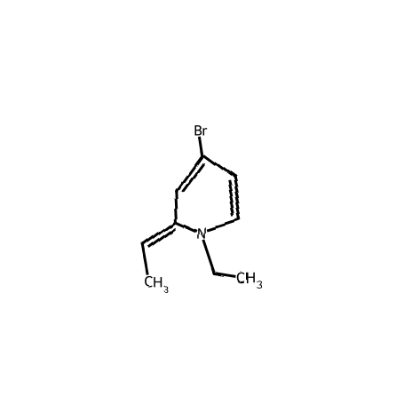 C/C=C1/C=C(Br)C=CN1CC